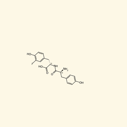 N[C@@H](Cc1ccc(O)cc1)C(=O)N[C@@H](Cc1ccc(O)c(I)c1)C(=O)O